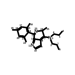 CCCN(CCC)C1=C2C=CN=C2C(c2c(C)cc(C)cc2C)=NC1C